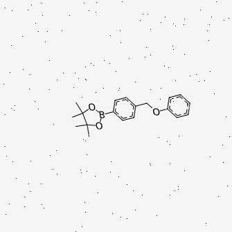 CC1(C)OB(c2ccc(COc3ccccc3)cc2)OC1(C)C